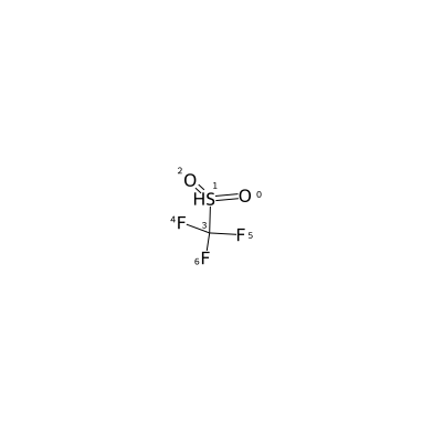 O=[SH](=O)C(F)(F)F